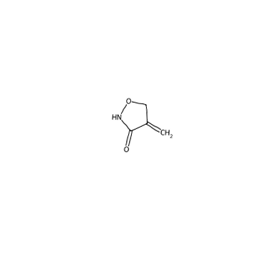 C=C1CONC1=O